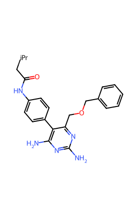 CC(C)CC(=O)Nc1ccc(-c2c(N)nc(N)nc2COCc2ccccc2)cc1